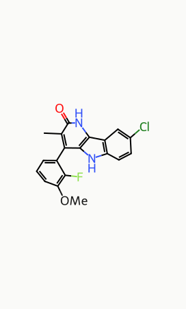 COc1cccc(-c2c(C)c(=O)[nH]c3c2[nH]c2ccc(Cl)cc23)c1F